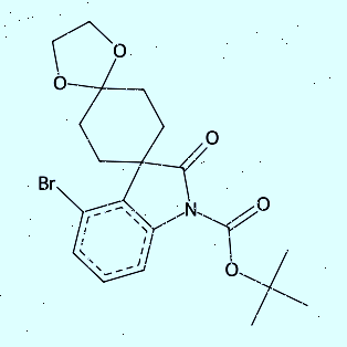 CC(C)(C)OC(=O)N1C(=O)C2(CCC3(CC2)OCCO3)c2c(Br)cccc21